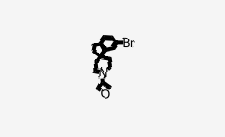 Brc1ccc2c(c1)C1(CC2)CCN(C2COC2)CC1